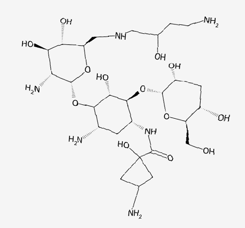 NCCC(O)CNC[C@H]1O[C@H](OC2[C@@H](N)C[C@@H](NC(=O)C3(O)CC(N)C3)[C@H](O[C@H]3O[C@H](CO)[C@@H](O)C[C@H]3O)[C@H]2O)[C@H](N)[C@@H](O)[C@@H]1O